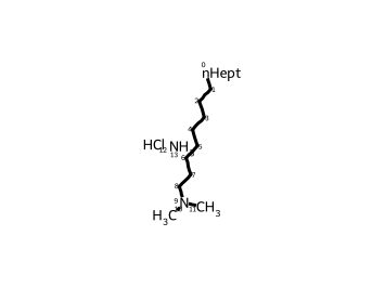 CCCCCCCCCCCCCCCN(C)C.Cl.N